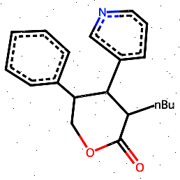 CCCCC1C(=O)OCC(c2ccccc2)C1c1cccnc1